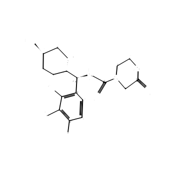 O=C1CN(C(=O)N[C@@H](c2ccc(F)c(Cl)c2F)[C@H]2CC[C@H](C(F)(F)F)CC2)CCN1